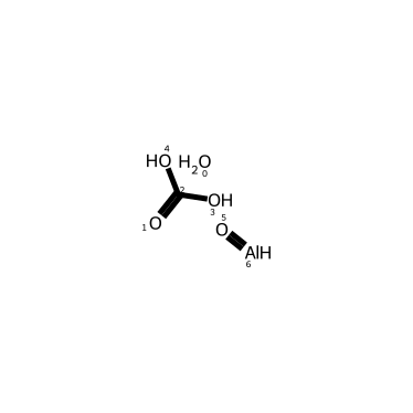 O.O=C(O)O.[O]=[AlH]